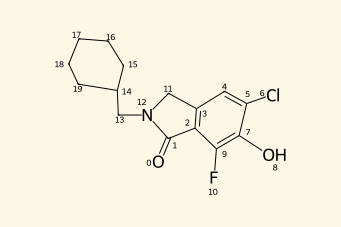 O=C1c2c(cc(Cl)c(O)c2F)CN1CC1CCCCC1